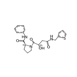 O=C(C[C@@H](O)C(=O)N1CCC[C@H]1C(=O)Nc1ccccc1)NCc1cccs1